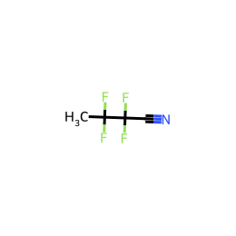 CC(F)(F)C(F)(F)C#N